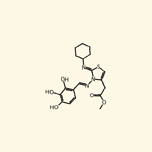 COC(=O)Cc1cs/c(=N\C2CCCCC2)n1/N=C/c1ccc(O)c(O)c1O